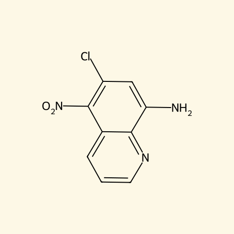 Nc1cc(Cl)c([N+](=O)[O-])c2cccnc12